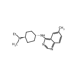 CCN(C)[C@H]1CC[C@H](Nc2ncnc3ccc(C)cc23)CC1